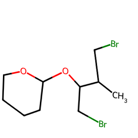 CC(CBr)C(CBr)OC1CCCCO1